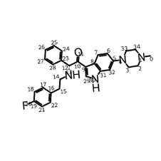 CN1CCN(c2ccc3c(C(=O)[C@H](NCCc4ccc(F)cc4)c4ccccc4)c[nH]c3c2)CC1